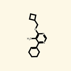 Cc1c(OCC2CCC2)ncnc1C1=CCCCC1